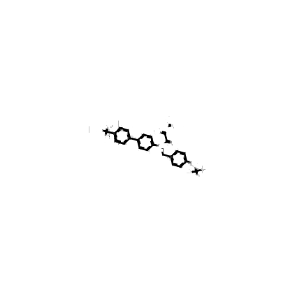 COC(=O)C(=O)N(Cc1ccc(OC(F)(F)F)cc1)c1ccc(-c2ccc(C(C)(C)C)cc2)cc1